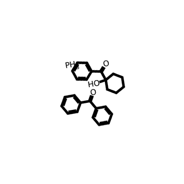 O=C(c1ccccc1)C1(O)CCCCC1.O=C(c1ccccc1)c1ccccc1.P